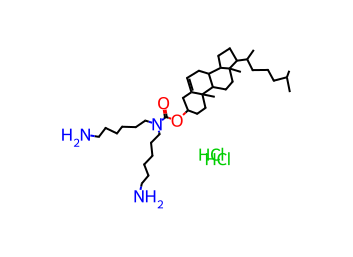 CC(C)CCCC(C)C1CCC2C3CC=C4CC(OC(=O)N(CCCCCCN)CCCCCCN)CCC4(C)C3CCC12C.Cl.Cl